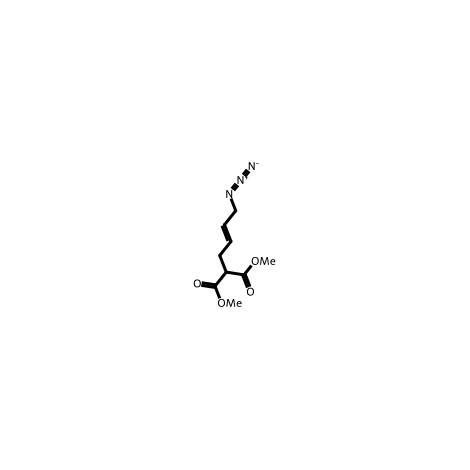 COC(=O)C(CC=CCN=[N+]=[N-])C(=O)OC